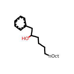 CCCCCCCCCCCCC(O)Cc1ccccc1